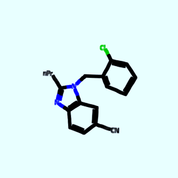 CCCc1nc2ccc(C#N)cc2n1Cc1ccccc1Cl